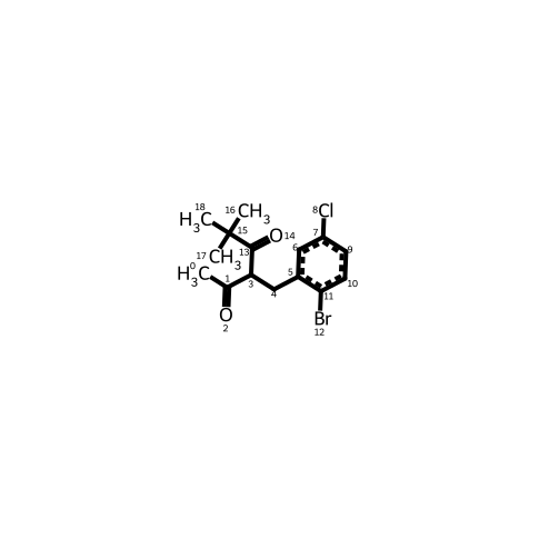 CC(=O)C(Cc1cc(Cl)ccc1Br)C(=O)C(C)(C)C